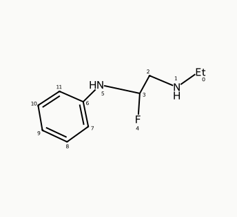 CCNCC(F)Nc1ccccc1